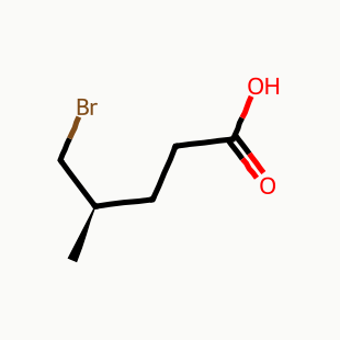 C[C@@H](CBr)CCC(=O)O